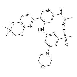 CC(=O)Nc1cc(Nc2cc(N3CCOCC3)cc(S(C)(=O)=O)n2)c(-c2ccc3c(n2)OCC(C)(C)O3)cn1